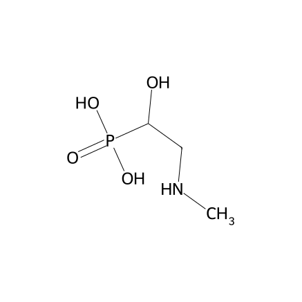 CNCC(O)P(=O)(O)O